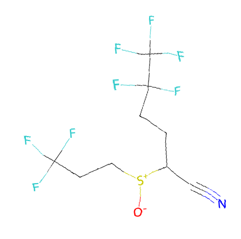 N#CC(CCC(F)(F)C(F)(F)F)[S+]([O-])CCC(F)(F)F